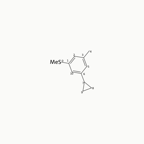 CSc1cc(C)cc(C2CC2)c1